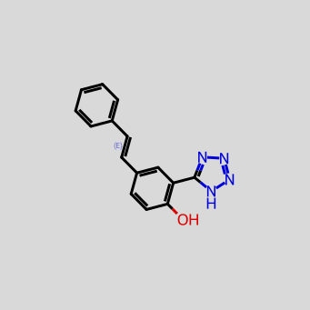 Oc1ccc(/C=C/c2ccccc2)cc1-c1nnn[nH]1